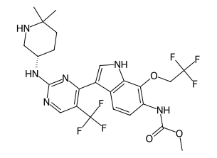 COC(=O)Nc1ccc2c(-c3nc(N[C@H]4CCC(C)(C)NC4)ncc3C(F)(F)F)c[nH]c2c1OCC(F)(F)F